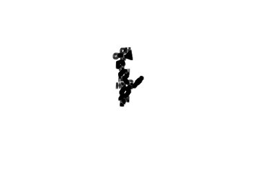 CC#CCOc1cc2nn(C)cc2cc1NC(=O)c1cnc(N2CCC(N(C(=O)O)C3CC3)C2)cn1